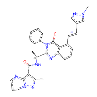 Cc1nn2cccnc2c1C(=O)N[C@@H](C)c1nc2cccc(/C=C/c3cnn(C)c3)c2c(=O)n1-c1ccccc1